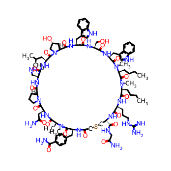 CCCC[C@H]1C(=O)N(C)[C@@H](CCCC)C(=O)N[C@@H](CCCNC(=N)N)C(=O)N[C@H](C(=O)NCC(N)=O)CSCC(=O)N[C@@H](Cc2ccc(C(N)=O)cc2)C(=O)N(C)[C@@H](C)C(=O)N[C@@H](CC(N)=O)C(=O)N2CCC[C@H]2C(=O)N[C@@H](CN)C(=O)N[C@@H](CC(C)C)C(=O)N2C[C@H](O)C[C@H]2C(=O)N[C@@H](Cc2c[nH]c3ccccc23)C(=O)N[C@@H](CO)C(=O)N[C@@H](Cc2c[nH]c3ccccc23)C(=O)N1C